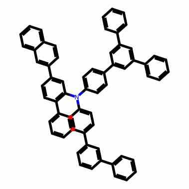 c1ccc(-c2cccc(-c3ccc(N(c4ccc(-c5cc(-c6ccccc6)cc(-c6ccccc6)c5)cc4)c4cc(-c5ccc6ccccc6c5)ccc4-c4ccccc4)cc3)c2)cc1